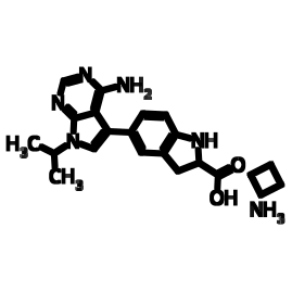 C1CCC1.CC(C)n1cc(-c2ccc3c(c2)CC(C(=O)O)N3)c2c(N)ncnc21.N